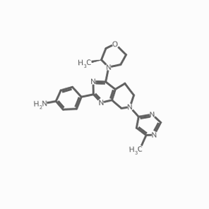 Cc1cc(N2CCc3c(nc(-c4ccc(N)cc4)nc3N3CCOC[C@@H]3C)C2)ncn1